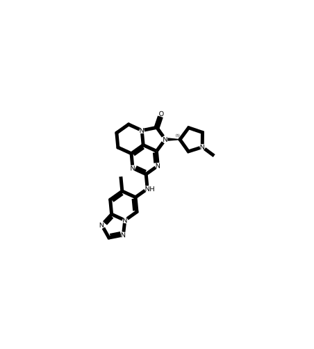 Cc1cc2ncnn2cc1Nc1nc2c3c(n1)n([C@H]1CCN(C)C1)c(=O)n3CCC2